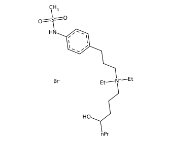 CCCC(O)CCC[N+](CC)(CC)CCCc1ccc(NS(C)(=O)=O)cc1.[Br-]